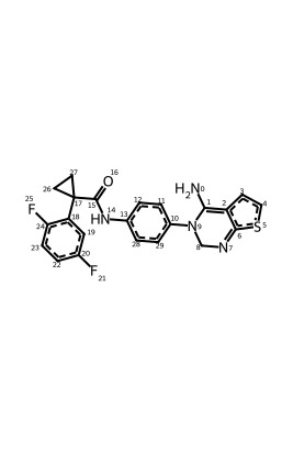 NC1=c2ccsc2=NCN1c1ccc(NC(=O)C2(c3cc(F)ccc3F)CC2)cc1